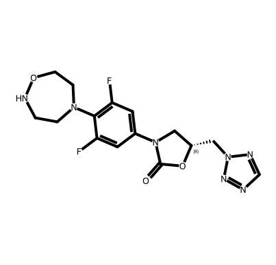 O=C1O[C@@H](Cn2ncnn2)CN1c1cc(F)c(N2CCNOCC2)c(F)c1